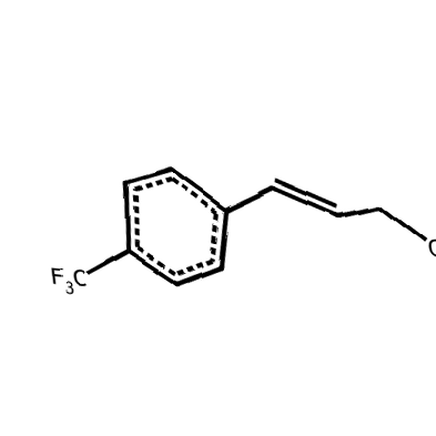 [O]C/C=C/c1ccc(C(F)(F)F)cc1